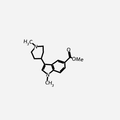 COC(=O)c1ccc2c(c1)c(C1CCN(C)CC1)cn2C